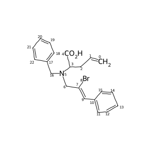 C=CCC(C(=O)O)N(CC(Br)=Cc1ccccc1)Cc1ccccc1